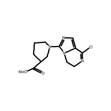 COC(=O)C1CCCN(c2ncc3n2CCN=C3Cl)C1